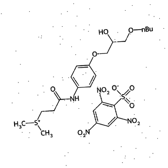 CCCCOCC(O)COc1ccc(NC(=O)CC[S+](C)C)cc1.O=[N+]([O-])c1cc([N+](=O)[O-])c(S(=O)(=O)[O-])c([N+](=O)[O-])c1